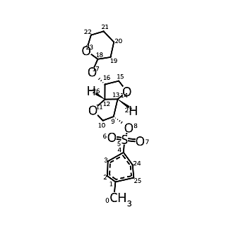 Cc1ccc(S(=O)(=O)O[C@@H]2CO[C@H]3[C@@H]2OC[C@H]3OC2CCCCO2)cc1